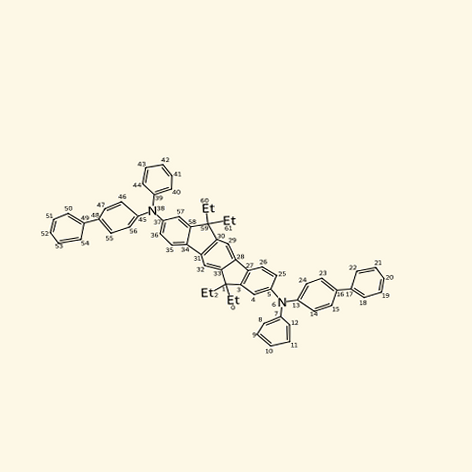 CCC1(CC)c2cc(N(c3ccccc3)c3ccc(-c4ccccc4)cc3)ccc2-c2cc3c(cc21)-c1ccc(N(c2ccccc2)c2ccc(-c4ccccc4)cc2)cc1C3(CC)CC